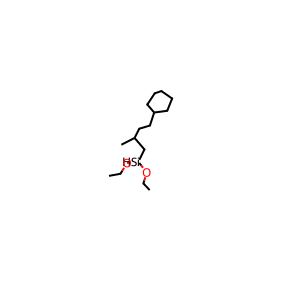 CCO[SiH](CC(C)CCC1CCCCC1)OCC